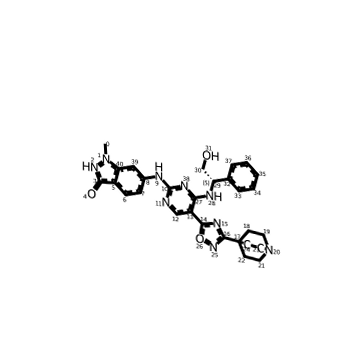 Cn1[nH]c(=O)c2ccc(Nc3ncc(-c4nc(C56CCN(CC5)CC6)no4)c(N[C@H](CO)c4ccccc4)n3)cc21